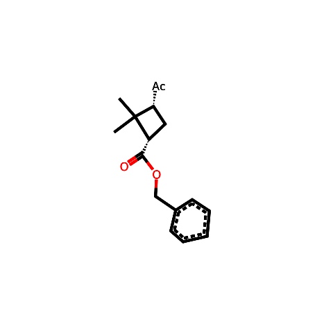 CC(=O)[C@@H]1C[C@H](C(=O)OCc2ccccc2)C1(C)C